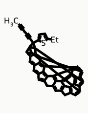 CC#CC#CC1(c2ccc(CC)s2)C23C=c4cc5cc6cc7c8c6c6c5c5c4C21c1c2c(cc4c9c%10c(cc(c%11c%10c%10c(c1c5c6c%10c8%11)c29)C7)C4)C3